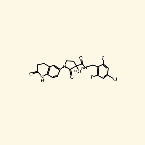 O=C1CCc2cc(N3CCC(O)(C(=O)NCc4c(F)cc(Cl)cc4F)C3=O)ccc2N1